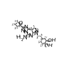 Nc1nc2c(cnn2CCc2ccc(O)c(O)c2)c2nc(-c3ccco3)nn12